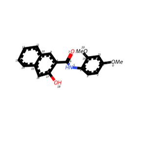 COc1ccc(NC(=O)c2cc3ccccc3cc2O)c(OC)c1